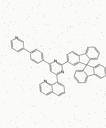 c1cncc(-c2ccc(-c3cc(-c4cccc5cccnc45)nc(-c4ccc5c(c4)C4(c6ccccc6-c6ccccc64)c4ccccc4-5)n3)cc2)c1